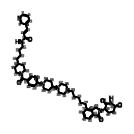 O=C(/C=C/c1cccnc1)NCCCCC1CCN(C(=O)c2ccc(N3CCC(N4CCN(CCCCCc5cccc6c5CN(C5CCC(=O)NC5=O)C6=O)CC4)CC3)nc2)CC1